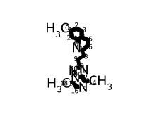 Cc1ccc2ccc(CCc3nc4c(C)ncc(C)n4n3)nc2c1